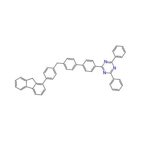 c1ccc(-c2nc(-c3ccccc3)nc(-c3ccc(-c4ccc(Cc5ccc(-c6cccc7c6Cc6ccccc6-7)cc5)cc4)cc3)n2)cc1